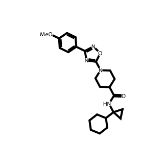 COc1ccc(-c2noc(N3CCC(C(=O)NC4(C5CCCCC5)CC4)CC3)n2)cc1